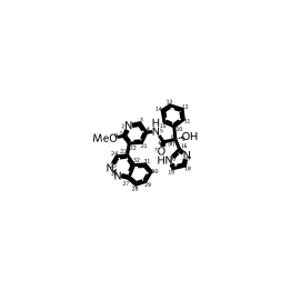 COc1ncc(NC(=O)[C@@](O)(c2ccccc2)c2ncc[nH]2)cc1-c1cnnc2ccccc12